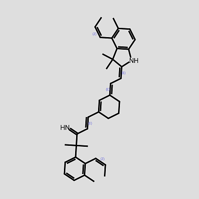 C/C=C\c1c(C)cccc1C(C)(C)C(=N)/C=C/C1=CC(=C/C=C2/Nc3ccc(C)c(/C=C\C)c3C2(C)C)/CCC1